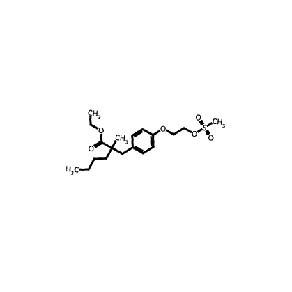 CCCCC(C)(Cc1ccc(OCCOS(C)(=O)=O)cc1)C(=O)OCC